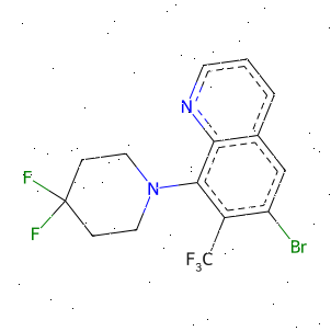 FC1(F)CCN(c2c(C(F)(F)F)c(Br)cc3cccnc23)CC1